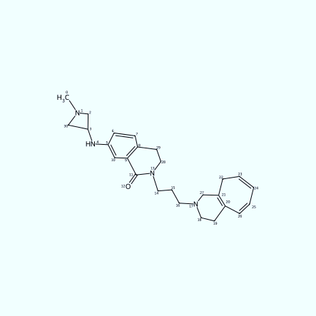 CN1CC(Nc2ccc3c(c2)C(=O)N(CCCN2CCC4=C(CC=CC=C4)C2)CC3)C1